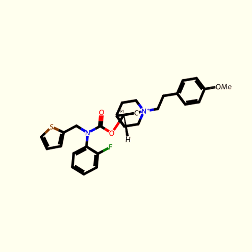 COc1ccc(CC[N+]23CCC(CC2)[C@@H](OC(=O)N(Cc2cccs2)c2ccccc2F)C3)cc1